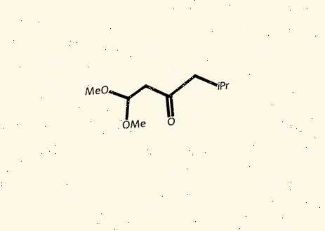 COC(CC(=O)CC(C)C)OC